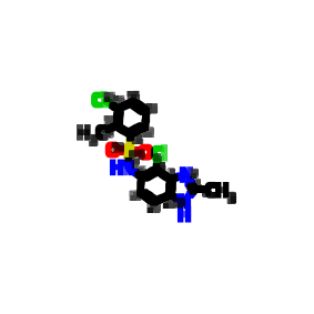 Cc1nc2c(Cl)c(NS(=O)(=O)c3cccc(Cl)c3C)ccc2[nH]1